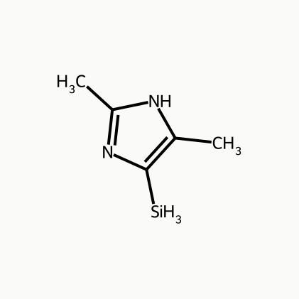 Cc1nc([SiH3])c(C)[nH]1